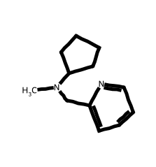 CN(Cc1ccccn1)C1CCCC1